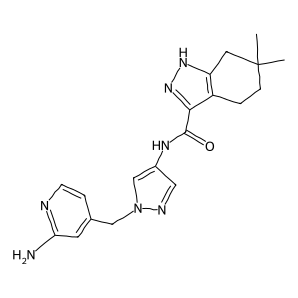 CC1(C)CCc2c(C(=O)Nc3cnn(Cc4ccnc(N)c4)c3)n[nH]c2C1